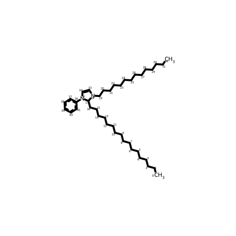 CCCCCCCCCCCCCCCCCC1N(CCCCCCCCCCCCCC)C=CN1c1ccccc1